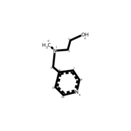 CN(CCO)Cc1ccncc1